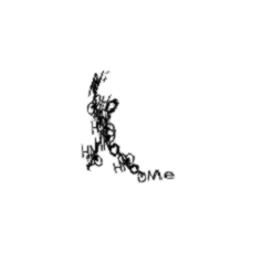 C=CCOC(=O)NCCCC[C@H](NC(=O)[C@H](Cc1ccccc1)NC(=O)[C@@H](C)NC(=O)OCCN=[N+]=[N-])C(=O)Nc1ccc(COC(=O)Nc2ccc(COC)cc2)cc1